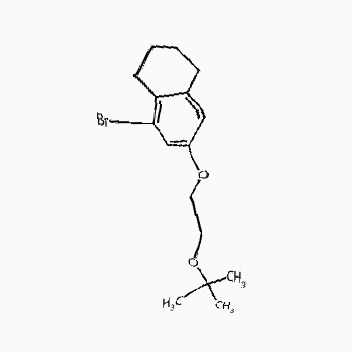 CC(C)(C)OCCOc1cc(Br)c2c(c1)CCCC2